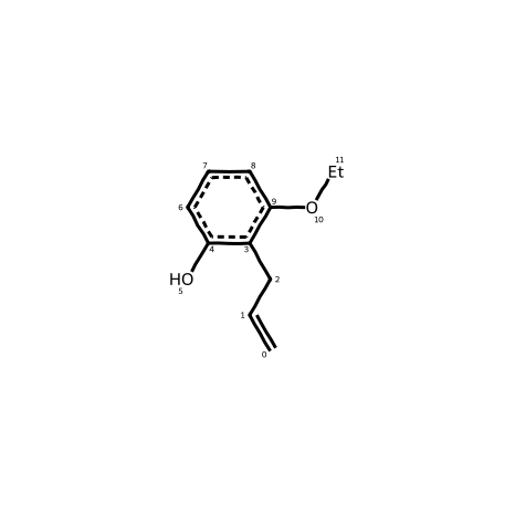 C=CCc1c(O)cccc1OCC